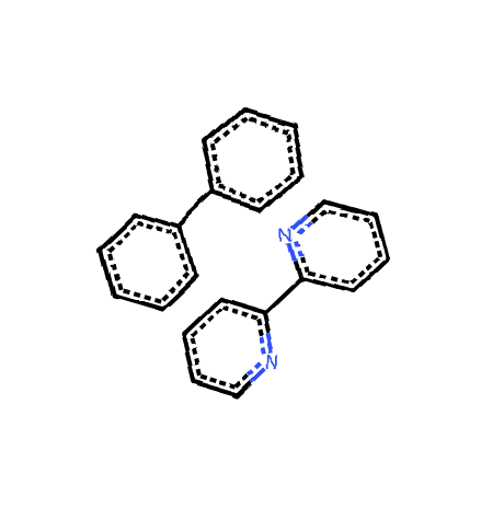 c1ccc(-c2ccccc2)cc1.c1ccc(-c2ccccn2)nc1